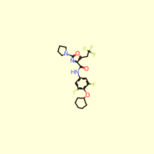 O=C(Nc1cc(F)c(OC2CCCCC2)c(F)c1)c1nc(N2CCCC2)oc1CC(F)(F)F